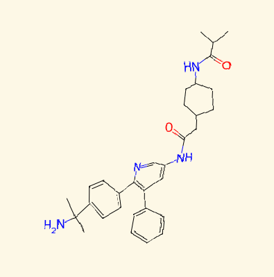 CC(C)C(=O)NC1CCC(CC(=O)Nc2cnc(-c3ccc(C(C)(C)N)cc3)c(-c3ccccc3)c2)CC1